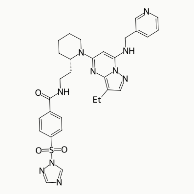 CCc1cnn2c(NCc3cccnc3)cc(N3CCCC[C@H]3CCNC(=O)c3ccc(S(=O)(=O)n4cncn4)cc3)nc12